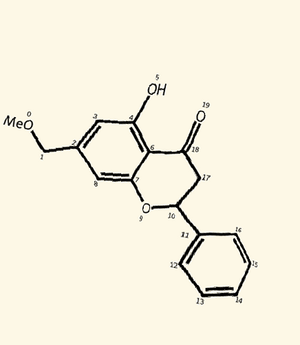 COCc1cc(O)c2c(c1)OC(c1ccccc1)CC2=O